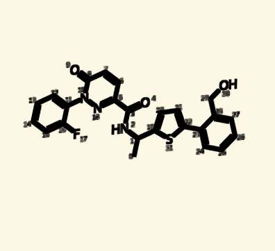 CC(NC(=O)c1ccc(=O)n(-c2ccccc2F)n1)c1ccc(-c2ccccc2CO)s1